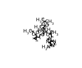 CCOC(=O)C1(CCOP(CO[C@H](C)Cn2cnc3c(N)ncnc32)NC(C)(C)C(=O)OC(C)C)CC1